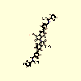 CCCN1C(=O)/C(=C2/C(=O)N(CCC)c3cc(-c4ccc(/C=C(\C#N)c5cccs5)s4)ccc32)c2ccc(-c3ccc(/C=C(\C#N)c4cccs4)s3)cc21